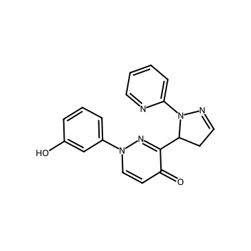 O=c1ccn(-c2cccc(O)c2)nc1C1CC=NN1c1ccccn1